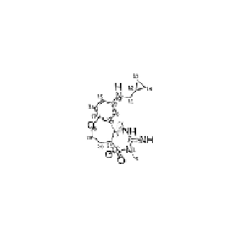 CN1C(=N)N[C@]2(C)c3cc(NCC4CC4)ccc3OCCC2S1(=O)=O